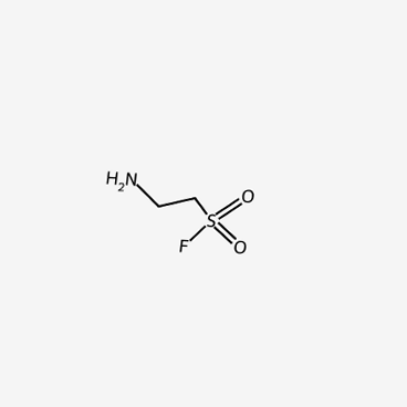 NCCS(=O)(=O)F